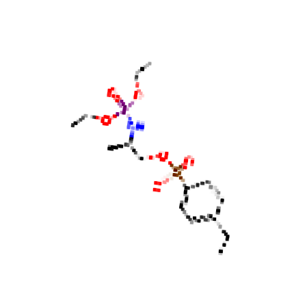 CCOP(=O)(N[C@H](C)COS(=O)(=O)c1ccc(CC)cc1)OCC